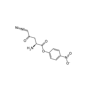 [N-]=[N+]=CC(=O)C[C@H](N)C(=O)Oc1ccc([N+](=O)[O-])cc1